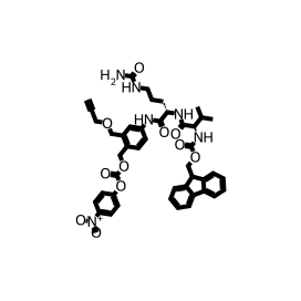 C#CCOCc1cc(NC(=O)[C@H](CCCNC(N)=O)NC(=O)[C@@H](NC(=O)OCC2c3ccccc3-c3ccccc32)C(C)C)ccc1COC(=O)Oc1ccc([N+](=O)[O-])cc1